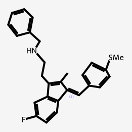 CSc1ccc(/C=C2\C(C)=C(CCNCc3ccccc3)c3cc(F)ccc32)cc1